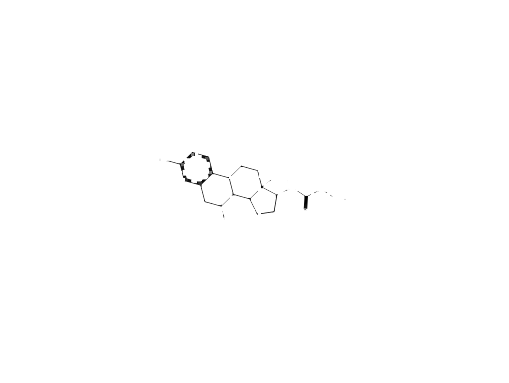 CCCCCCCCCCOC(=O)O[C@H]1CCC2C3C(CC[C@@]21C)c1ccc(O)cc1C[C@@H]3C